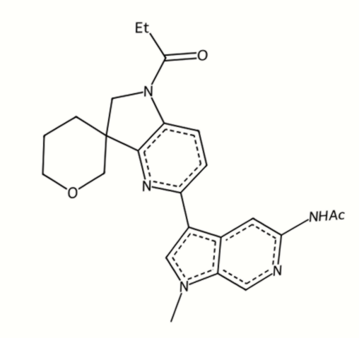 CCC(=O)N1CC2(CCCOC2)c2nc(-c3cn(C)c4cnc(NC(C)=O)cc34)ccc21